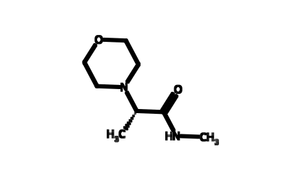 CNC(=O)[C@H](C)N1CCOCC1